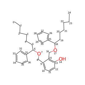 CCCCCCC(OCc1cccc(O)c1COC(CCCCCC)c1ccccc1)c1ccccc1